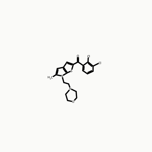 Cc1cc2cc(C(=O)c3cccc(Cl)c3Cl)sc2n1CCN1CCOCC1